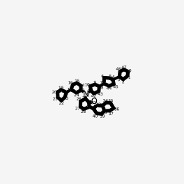 c1ccc(-c2ccc(-c3ccc(N(c4cccc(-c5ccccc5)c4)c4cccc5c4oc4c6ccccc6ccc54)cc3)cc2)cc1